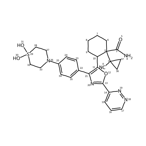 N#CC1(C2(C(N)=O)CCCCC2c2oc(-c3cccnn3)nc2-c2ccc(N3CCS(O)(O)CC3)cc2)CC1